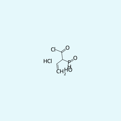 C=CC(C(=O)Cl)[PH](=O)O.Cl